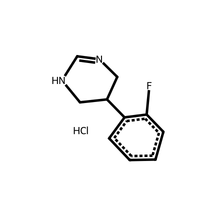 Cl.Fc1ccccc1C1CN=CNC1